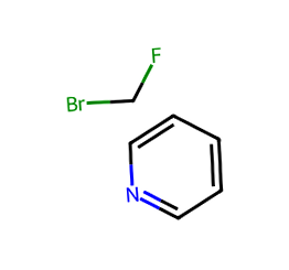 FCBr.c1ccncc1